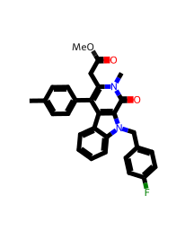 COC(=O)Cc1c(-c2ccc(C)cc2)c2c3ccccc3n(Cc3ccc(F)cc3)c2c(=O)n1C